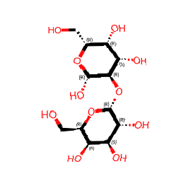 OC[C@H]1O[C@H](O[C@@H]2[C@@H](O)[C@@H](O)[C@@H](CO)O[C@H]2O)[C@H](O)[C@@H](O)[C@H]1O